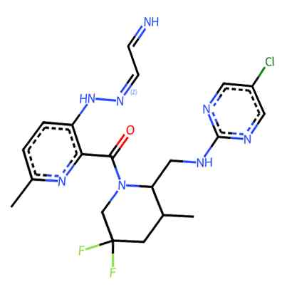 Cc1ccc(N/N=C\C=N)c(C(=O)N2CC(F)(F)CC(C)C2CNc2ncc(Cl)cn2)n1